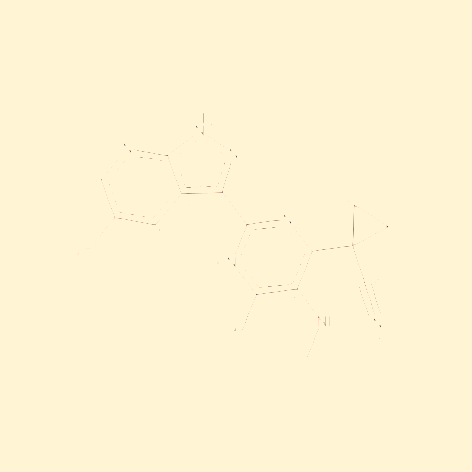 CNc1c(C)nc(-c2n[nH]c3ncc(F)cc23)nc1C1(C#N)CC1